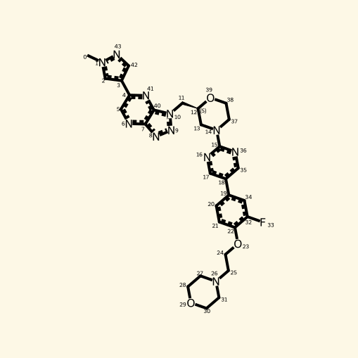 Cn1cc(-c2cnc3nnn(C[C@@H]4CN(c5ncc(-c6ccc(OCCN7CCOCC7)c(F)c6)cn5)CCO4)c3n2)cn1